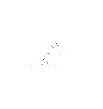 CCOP(=O)(Cc1csc(NC(=O)Cc2cc(OC)cc(OC)c2)n1)OCC